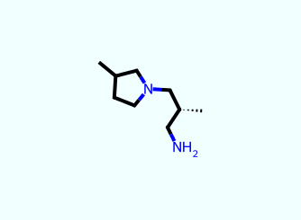 CC1CCN(C[C@H](C)CN)C1